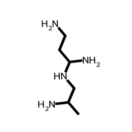 CC(N)CNC(N)CCN